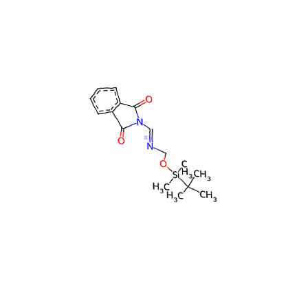 CC(C)(C)[Si](C)(C)OC/N=C/N1C(=O)c2ccccc2C1=O